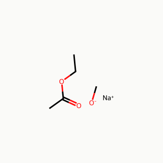 CCOC(C)=O.C[O-].[Na+]